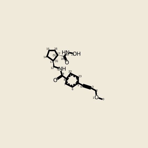 COCC#Cc1ccc(C(=O)NC[C@H]2CCC[C@@H]2C(=O)NO)cc1